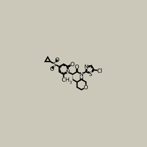 Cc1cc(S(=O)(=O)C2CC2)cc(=O)n1[C@@H](CC1CCOCC1)C(=O)Nc1ncc(Cl)s1